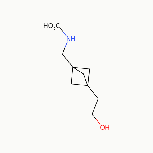 O=C(O)NCC12CC(CCO)(C1)C2